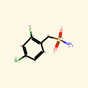 NS(=O)(=O)Cc1ccc(Br)cc1F